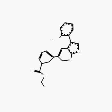 COc1ccccc1-c1c[nH]c2c1C=C(C1=CC=CC(C(=N)NCC(C)C)C1)CN2